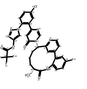 C[C@@H]1CCC[C@H](n2cnc(-c3cc(Cl)ccc3-n3cc(OC(=O)C(F)(F)F)nn3)cc2=O)c2cc(ccn2)-c2cc(F)ccc2NC1=O